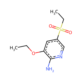 CCOc1cc(S(=O)(=O)CC)cnc1N